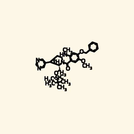 CNc1cc(OCc2ccccc2)c(OC)cc1C(=O)N1CC[C@@H]2C(c3cncnc3)C2[C@H]1CO[Si](C)(C)C(C)(C)C